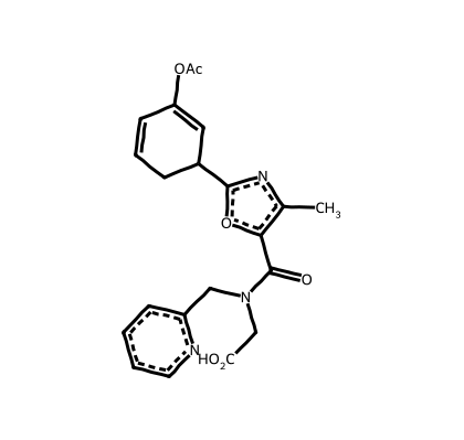 CC(=O)OC1=CC(c2nc(C)c(C(=O)N(CC(=O)O)Cc3ccccn3)o2)CC=C1